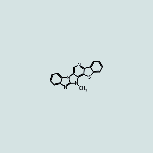 Cn1c2c3sc4ccccc4c3ncc2n2c3ccccc3nc12